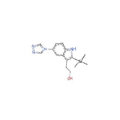 C[Si](C)(C)c1[nH]c2ccc(-n3cnnc3)cc2c1CCO